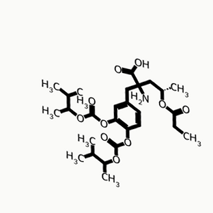 CCC(=O)O[C@@H](C)CC(N)(Cc1ccc(OC(=O)OC(C)C(C)C)c(OC(=O)OC(C)C(C)C)c1)C(=O)O